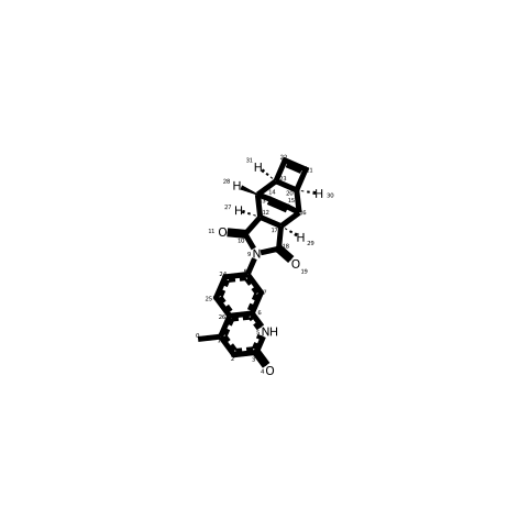 Cc1cc(=O)[nH]c2cc(N3C(=O)[C@H]4[C@H]5C=CC([C@H]4C3=O)[C@@H]3C=C[C@H]53)ccc12